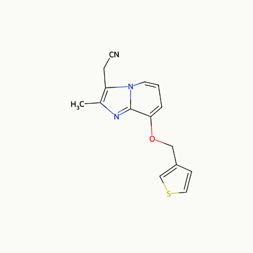 Cc1nc2c(OCc3ccsc3)cccn2c1CC#N